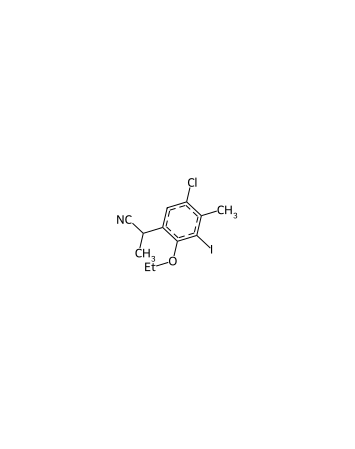 CCOc1c(C(C)C#N)cc(Cl)c(C)c1I